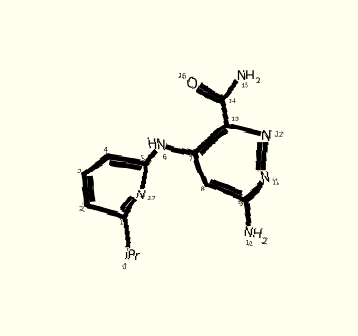 CC(C)c1cccc(Nc2cc(N)nnc2C(N)=O)n1